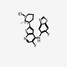 CCN1CCC[C@@H](c2cc3c(Nc4cc5ncsc5cc4F)c(F)cnc3s2)[C@@H]1C